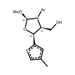 CO[C@@H]1O[C@H](c2cc(C)cs2)[C@H](CO)N1C(C)=O